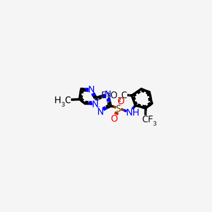 CCOC(=O)c1cccc(C(F)(F)F)c1NS(=O)(=O)c1nc2ncc(C)cn2n1